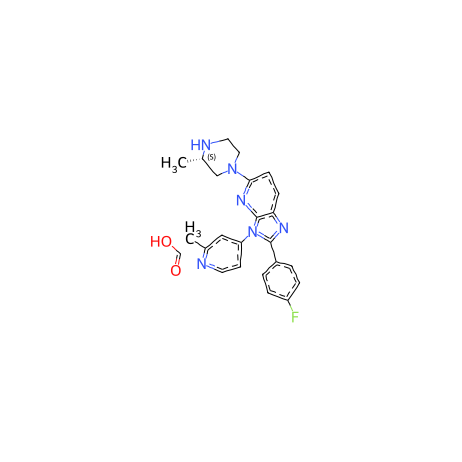 Cc1cc(-n2c(-c3ccc(F)cc3)nc3ccc(N4CCN[C@@H](C)C4)nc32)ccn1.O=CO